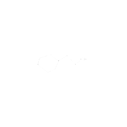 CCCC1C[C]CCO1